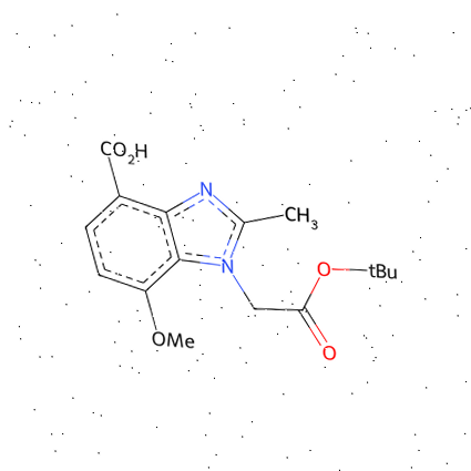 COc1ccc(C(=O)O)c2nc(C)n(CC(=O)OC(C)(C)C)c12